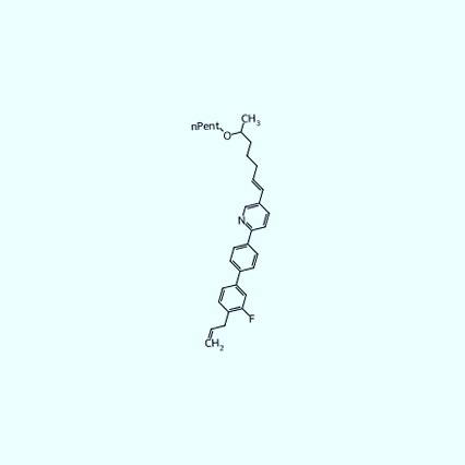 C=CCc1ccc(-c2ccc(-c3ccc(/C=C/CCCC(C)OCCCCC)cn3)cc2)cc1F